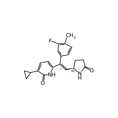 Cc1ccc(/C(=C\[C@H]2CCC(=O)N2)c2ccc(C3CC3)c(=O)[nH]2)cc1F